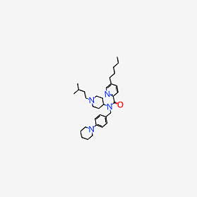 CCCCCc1ccc(C(=O)N(Cc2ccc(N3CCCCC3)cc2)C2CCN(CCC(C)C)CC2)nc1